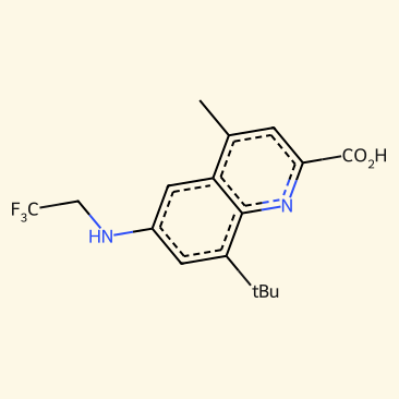 Cc1cc(C(=O)O)nc2c(C(C)(C)C)cc(NCC(F)(F)F)cc12